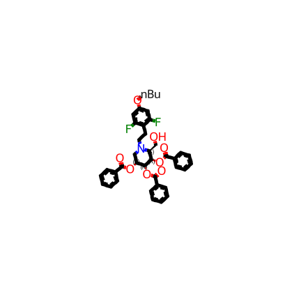 CCCCOc1cc(F)c(CCN2C[C@H](OC(=O)c3ccccc3)[C@@H](OC(=O)c3ccccc3)[C@H](OC(=O)c3ccccc3)[C@@H]2CO)c(F)c1